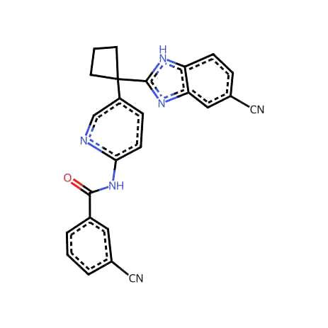 N#Cc1cccc(C(=O)Nc2ccc(C3(c4nc5cc(C#N)ccc5[nH]4)CCC3)cn2)c1